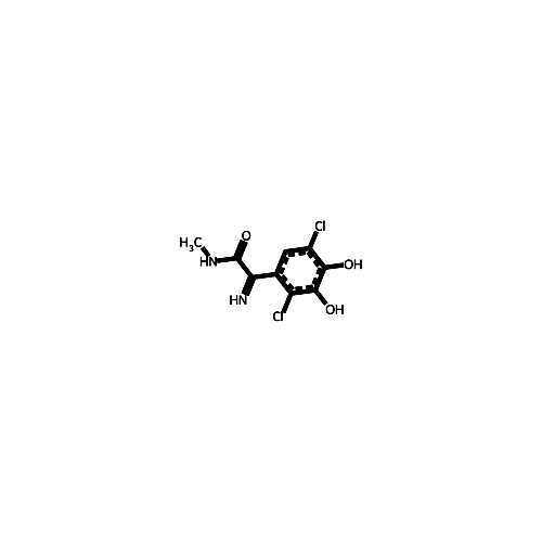 CNC(=O)C(=N)c1cc(Cl)c(O)c(O)c1Cl